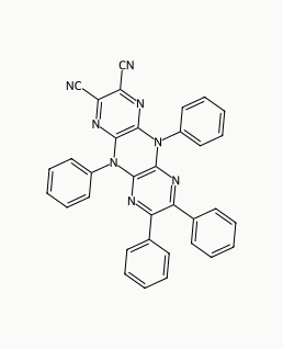 N#Cc1nc2c(nc1C#N)N(c1ccccc1)c1nc(-c3ccccc3)c(-c3ccccc3)nc1N2c1ccccc1